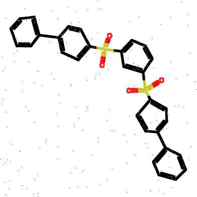 O=S(=O)(c1ccc(-c2ccccc2)cc1)c1cccc(S(=O)(=O)c2ccc(-c3ccccc3)cc2)c1